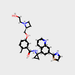 Cc1ccc(OC[C@@H]2CCN2CCO)cc1C(=O)NC1(c2cc(-c3nccs3)cc3ncccc23)CC1